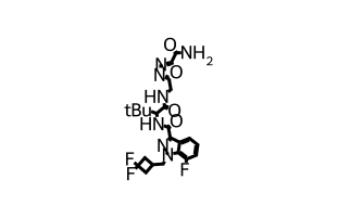 CC(C)(C)C(NC(=O)c1nn(CC2CC(F)(F)C2)c2c(F)cccc12)C(=O)NCc1nnc(C(N)=O)o1